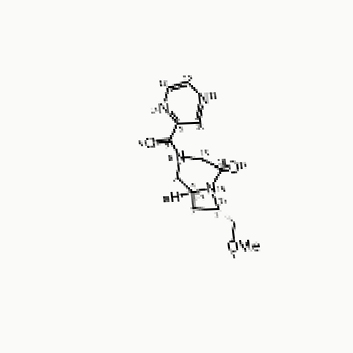 COC[C@@H]1C[C@@H]2CN(C(=O)c3cnccn3)CC(=O)N12